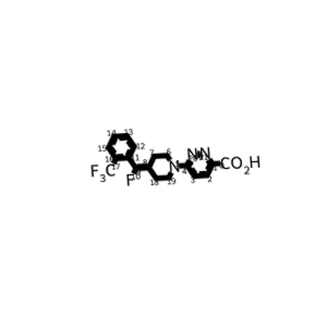 O=C(O)c1ccc(N2CCC(=C(F)c3ccccc3C(F)(F)F)CC2)nn1